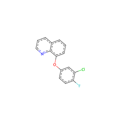 Fc1ccc(Oc2cccc3cccnc23)cc1Cl